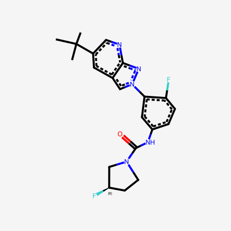 CC(C)(C)c1cnc2nn(-c3cc(NC(=O)N4CC[C@@H](F)C4)ccc3F)cc2c1